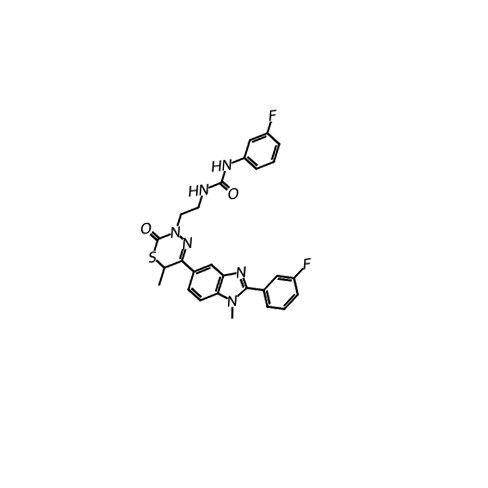 CC1SC(=O)N(CCNC(=O)Nc2cccc(F)c2)N=C1c1ccc2c(c1)nc(-c1cccc(F)c1)n2C